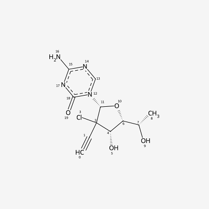 C#CC1(Cl)[C@@H](O)[C@@H]([C@H](C)O)O[C@H]1n1cnc(N)nc1=O